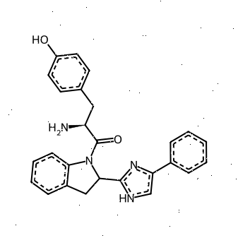 N[C@@H](Cc1ccc(O)cc1)C(=O)N1c2ccccc2CC1c1nc(-c2ccccc2)c[nH]1